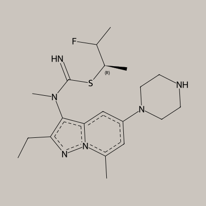 CCc1nn2c(C)cc(N3CCNCC3)cc2c1N(C)C(=N)S[C@H](C)C(C)F